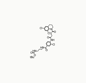 CC(C)(C)OC(=O)NCCCNC(=O)c1ccc(NC(=O)CSC(=O)N2CCCc3cc(Cl)cc(Cl)c32)c(Cl)c1